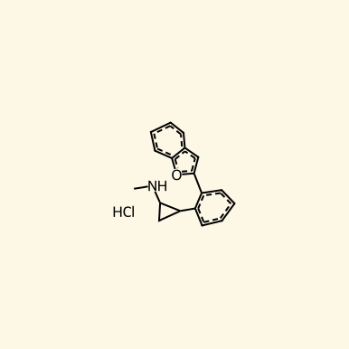 CNC1CC1c1ccccc1-c1cc2ccccc2o1.Cl